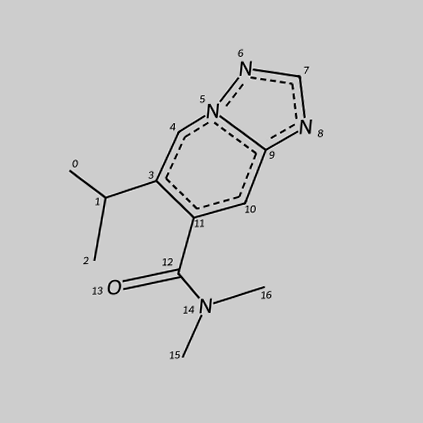 CC(C)c1cn2ncnc2cc1C(=O)N(C)C